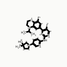 CC(C)N1CCOc2c(F)cc(-c3nc(Nc4ccc(N5CCC(C)(O)C5)cn4)ncc3F)cc21